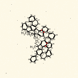 CC1(C)c2cc(N(c3ccc4c(c3)C(C)(C)c3c-4c4c(c5c3C(C)(C)c3ccccc3-5)-c3ccccc3CC4)c3c(-c4ccccc4)cccc3-c3ccccc3)ccc2-c2c1cc(-c1ccccc1)c1c2-c2ccccc2CC1